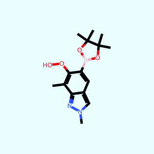 Cc1c(OO)c(B2OC(C)(C)C(C)(C)O2)cc2cn(C)nc12